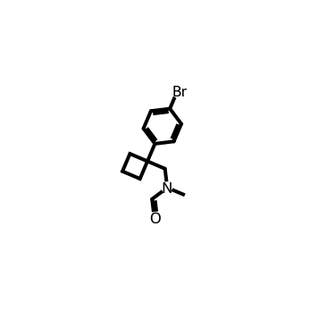 CN(C=O)CC1(c2ccc(Br)cc2)CCC1